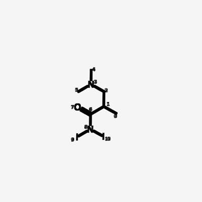 CC(CN(C)C)C(=O)N(I)I